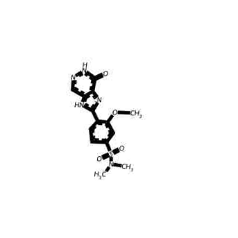 COc1cc(S(=O)(=O)N(C)C)ccc1-c1nc2c(=O)[nH]ncc2[nH]1